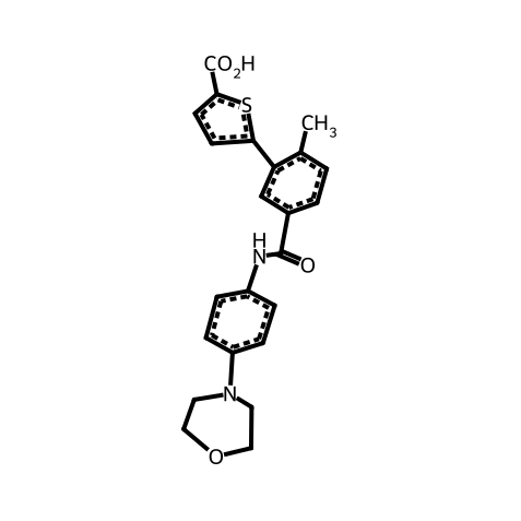 Cc1ccc(C(=O)Nc2ccc(N3CCOCC3)cc2)cc1-c1ccc(C(=O)O)s1